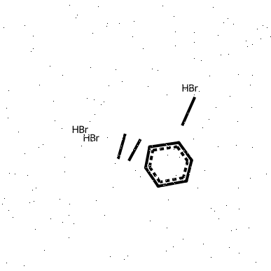 Br.Br.Br.CC.CC.CC.c1ccccc1